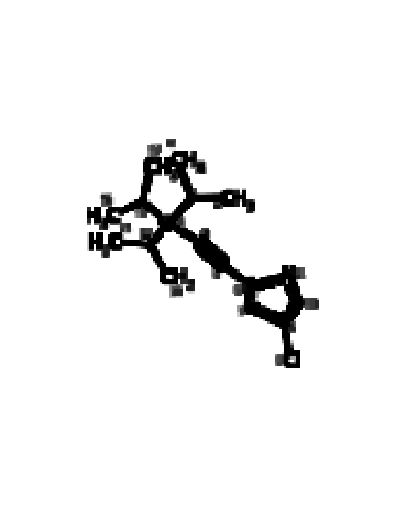 CC(C)[Si](C#Cn1cc(Cl)cn1)(C(C)C)C(C)C